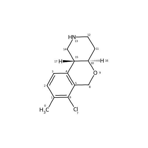 Cc1ccc2c(c1Cl)CO[C@@H]1CCNC[C@@H]21